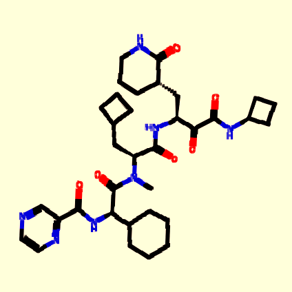 CN(C(=O)[C@H](NC(=O)c1cnccn1)C1CCCCC1)[C@@H](CC1CCC1)C(=O)N[C@@H](C[C@@H]1CCCNC1=O)C(=O)C(=O)NC1CCC1